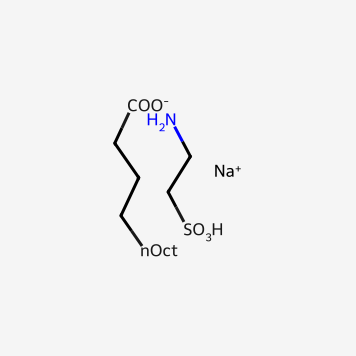 CCCCCCCCCCCC(=O)[O-].NCCS(=O)(=O)O.[Na+]